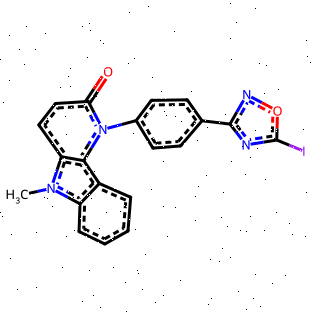 Cn1c2ccccc2c2c1ccc(=O)n2-c1ccc(-c2noc(I)n2)cc1